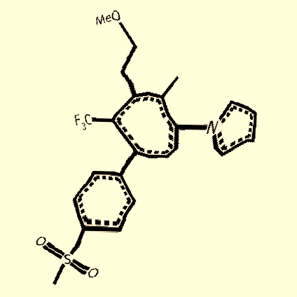 COCCc1c(C)c(-n2cccc2)cc(-c2ccc(S(C)(=O)=O)cc2)c1C(F)(F)F